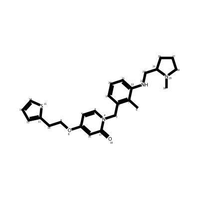 Cc1c(Cn2ccc(OCCc3cccs3)cc2=O)cccc1NCC1CCCN1C